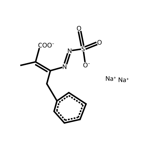 CC(C(=O)[O-])=C(Cc1ccccc1)N=NS(=O)(=O)[O-].[Na+].[Na+]